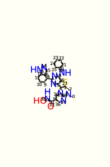 CN(Cc1cc2nc(-c3cccc4[nH]ncc34)nc(Nc3ccccc3)c2s1)c1ncc(C(=O)NO)cn1